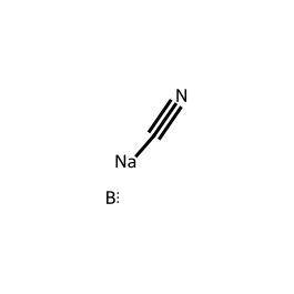 N#[C][Na].[B]